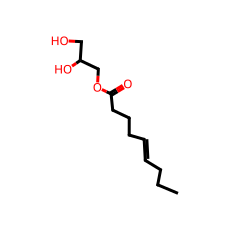 CCCC=CCCCC(=O)OCC(O)CO